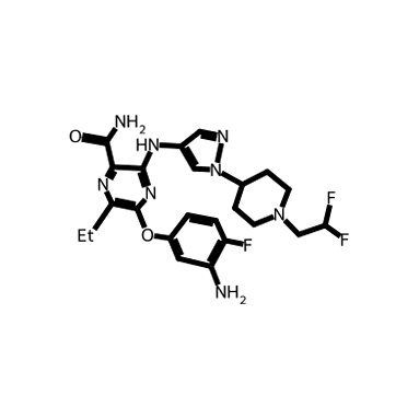 CCc1nc(C(N)=O)c(Nc2cnn(C3CCN(CC(F)F)CC3)c2)nc1Oc1ccc(F)c(N)c1